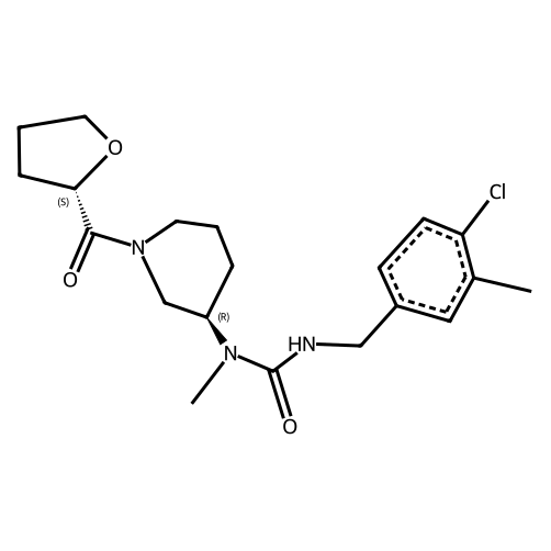 Cc1cc(CNC(=O)N(C)[C@@H]2CCCN(C(=O)[C@@H]3CCCO3)C2)ccc1Cl